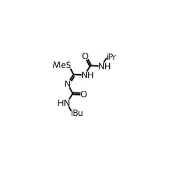 CCC(C)NC(=O)N=C(NC(=O)NC(C)C)SC